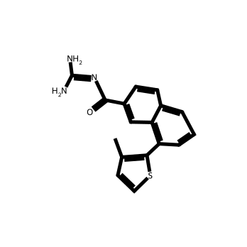 Cc1ccsc1-c1cccc2ccc(C(=O)N=C(N)N)cc12